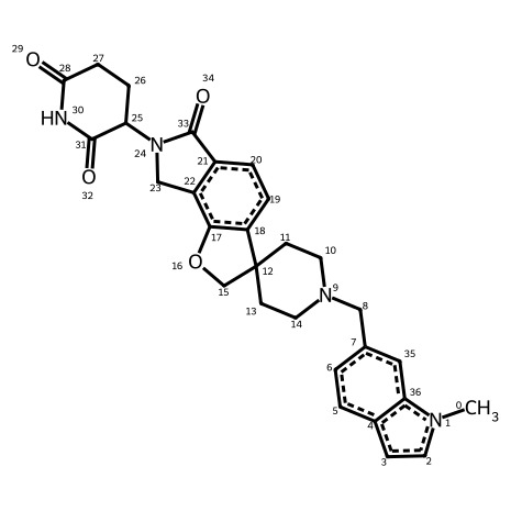 Cn1ccc2ccc(CN3CCC4(CC3)COc3c4ccc4c3CN(C3CCC(=O)NC3=O)C4=O)cc21